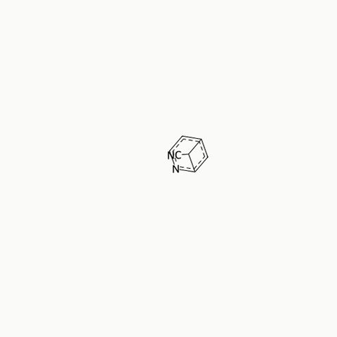 N#CC1c2ccnc1c2